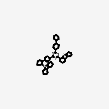 c1ccc(-c2ccc(-c3nc(-c4ccc(-c5ccccc5-n5c6ccccc6c6ccccc65)cc4)nc(-c4cccc5c4sc4ccccc45)n3)cc2)cc1